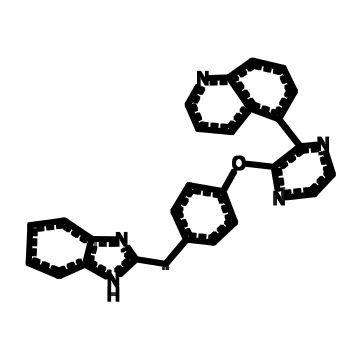 [C](c1ccc(Oc2nccnc2-c2cccc3ncccc23)cc1)c1nc2ccccc2[nH]1